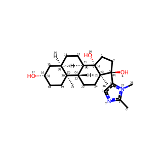 Cc1ncc([C@@]2(O)CC[C@]3(O)[C@@H]4CC[C@@H]5C[C@@H](O)CC[C@]5(C)[C@H]4CC[C@]23C)n1C